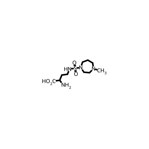 CN1CCCN(S(=O)(=O)NCCC(N)C(=O)O)CC1